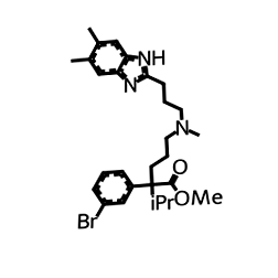 COC(=O)C(CCCN(C)CCCc1nc2cc(C)c(C)cc2[nH]1)(c1cccc(Br)c1)C(C)C